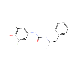 CCOC(=O)C(Cc1ccccc1)NC(=O)Nc1cc(F)c(O)c(F)c1